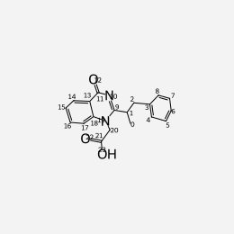 CC(Cc1ccccc1)c1nc(=O)c2ccccc2n1CC(=O)O